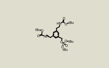 CC(C)(C)OC(=O)NCCc1cc(CCNC(=O)OC(C)(C)C)cc(COP(=O)(OC(C)(C)C)OC(C)(C)C)c1